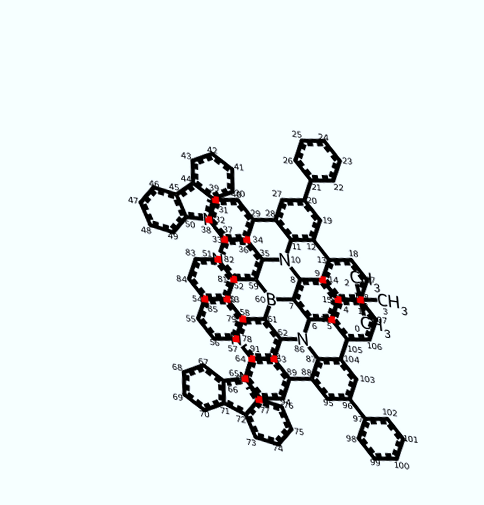 CC(C)(C)c1cc2c3c(c1)N(c1c(-c4ccccc4)cc(-c4ccccc4)cc1-c1ccccc1)c1cc(-n4c5ccccc5c5ccccc54)nc(-c4ccccc4)c1B3c1c(cc(-n3c4ccccc4c4ccccc43)nc1-c1ccccc1)N2c1c(-c2ccccc2)cc(-c2ccccc2)cc1-c1ccccc1